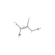 [O]C/C(I)=C(\Br)I